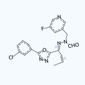 C/C=C\C(=N/N(C=O)Cc1cncc(F)c1)c1nnc(-c2cccc(Cl)c2)o1